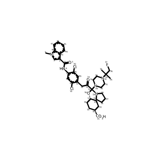 Cn1cc(C(=O)Nc2cc(Cl)c(CC(=O)C(O[C@H]3CC[C@H](C(=O)O)CC3)(N3CCCC3)N3CCN(C(C)(C)CF)CC3)cc2Cl)c2ccccc21